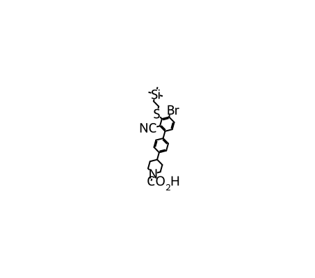 C[Si](C)(C)CCSc1c(Br)ccc(-c2ccc(C3CCN(C(=O)O)CC3)cc2)c1C#N